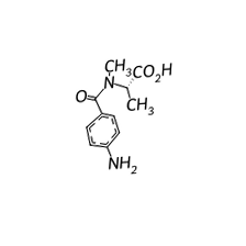 C[C@@H](C(=O)O)N(C)C(=O)c1ccc(N)cc1